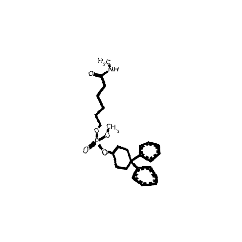 CNC(=O)CCCCCOP(=O)(OC)OC1CCC(c2ccccc2)(c2ccccc2)CC1